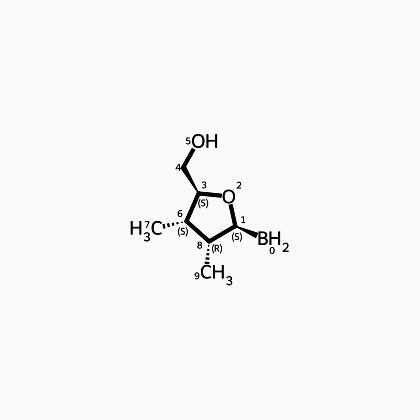 B[C@@H]1O[C@H](CO)[C@@H](C)[C@H]1C